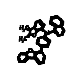 C=c1oc2c(N(c3ccc(-c4cccc5c4oc4ccccc45)cc3)c3cccc4ccccc34)cccc2c1=C